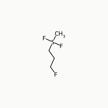 CS(F)(F)CCCF